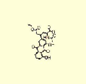 CCOC(=O)CC(CC(NC(C)=O)C(=O)O)c1cc(O)c2c(c1)C(=O)c1cccc(O)c1C2=O